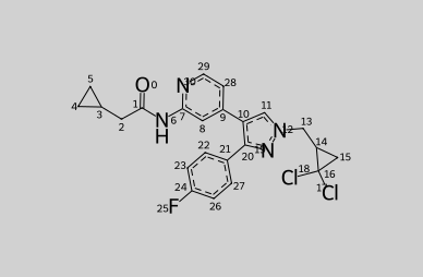 O=C(CC1CC1)Nc1cc(-c2cn(CC3CC3(Cl)Cl)nc2-c2ccc(F)cc2)ccn1